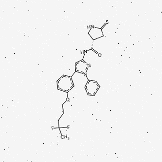 CC(F)(F)CCCOc1cccc(-c2cc(NC(=O)[C@@H]3CNC(=S)C3)nn2-c2ccccc2)c1